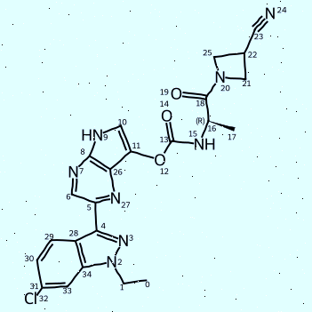 CCn1nc(-c2cnc3[nH]cc(OC(=O)N[C@H](C)C(=O)N4CC(C#N)C4)c3n2)c2ccc(Cl)cc21